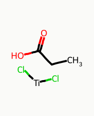 CCC(=O)O.[Cl][Ti][Cl]